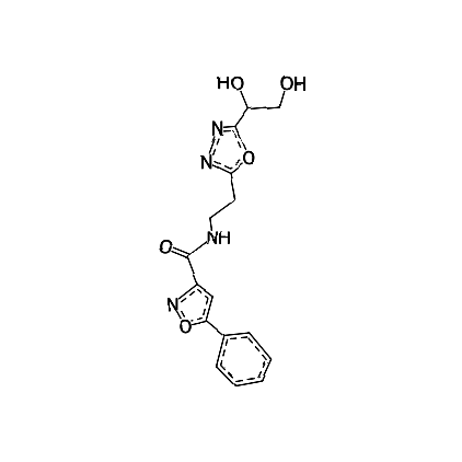 O=C(NCCc1nnc(C(O)CO)o1)c1cc(-c2ccccc2)on1